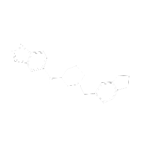 c1cc2c(cc1CN1CCCC(Nc3ccc4[nH]ncc4c3)C1)CCO2